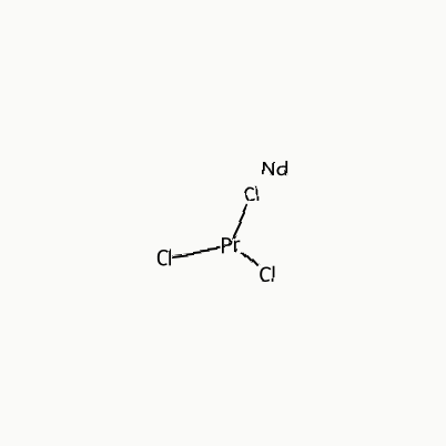 [Cl][Pr]([Cl])[Cl].[Nd]